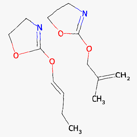 C=C(C)COC1=NCCO1.CCC=COC1=NCCO1